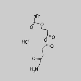 CCCC(=O)OCCC(=O)OC(=O)CCC(=O)CN.Cl